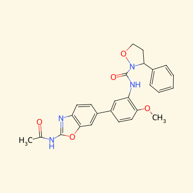 COc1ccc(-c2ccc3nc(NC(C)=O)oc3c2)cc1NC(=O)N1OCCC1c1ccccc1